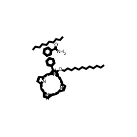 CCCCCCCCCC.CCCCCCCCCCCCOc1c(-c2ccccc2)c2cc3nc(cc4ccc(cc5nc(cc1[nH]2)C=C5)[nH]4)C=C3.NC(=O)c1ccccc1